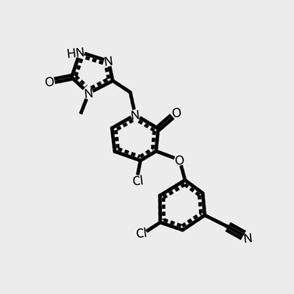 Cn1c(Cn2ccc(Cl)c(Oc3cc(Cl)cc(C#N)c3)c2=O)n[nH]c1=O